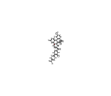 COc1ccc(OC)c(C(c2c(C)cc(C)cc2C)N(C(=O)O)c2ccnc(Nc3ccc(N4CCN(C(C)C)CC4)c(Cl)c3)n2)c1